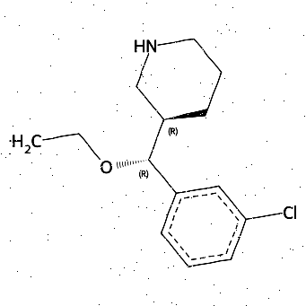 [CH2]CO[C@@H](c1cccc(Cl)c1)[C@@H]1CCCNC1